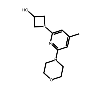 Cc1cc(N2CCOCC2)nc(N2CC(O)C2)c1